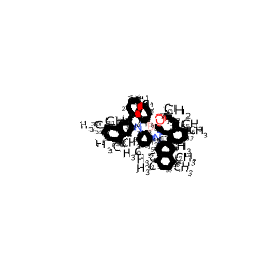 C=C1C=C2C(C3=C(O1)B1c4ccc(C)cc4N(c4cc5c(cc4-c4ccccc4)C(C)(C)CCC5(C)C)c4cc(C)cc(c41)N3c1ccc3c(c1)C(C)(C)CCC3(C)C)C(C)(C)CCC2(C)C